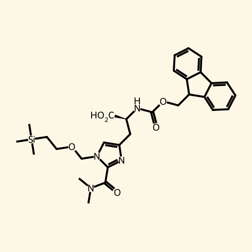 CN(C)C(=O)c1nc(C[C@H](NC(=O)OCC2c3ccccc3-c3ccccc32)C(=O)O)cn1COCC[Si](C)(C)C